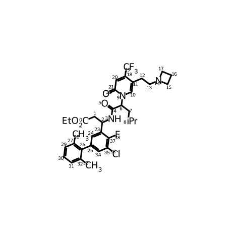 CCOC(=O)CC(NC(=O)C(CC(C)C)n1cc(CCN2CCC2)c(C(F)(F)F)cc1=O)c1cc(-c2c(C)cccc2C)cc(Cl)c1F